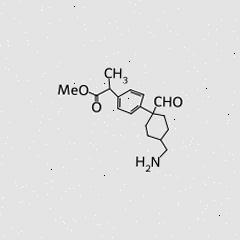 COC(=O)C(C)c1ccc(C2(C=O)CCC(CN)CC2)cc1